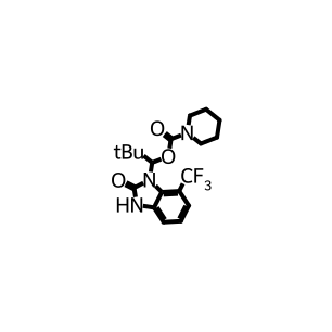 CC(C)(C)C(OC(=O)N1CCCCC1)n1c(=O)[nH]c2cccc(C(F)(F)F)c21